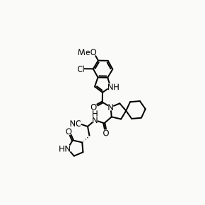 COc1ccc2[nH]c(C(=O)N3CC4(CCCCC4)CC3C(=O)NC(C#N)C[C@@H]3CCNC3=O)cc2c1Cl